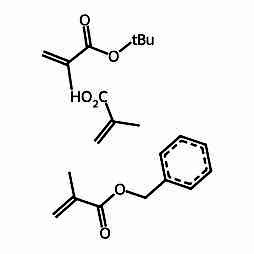 C=C(C)C(=O)O.C=C(C)C(=O)OC(C)(C)C.C=C(C)C(=O)OCc1ccccc1